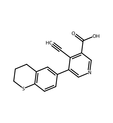 C#Cc1c(C(=O)O)cncc1-c1ccc2c(c1)CCCS2